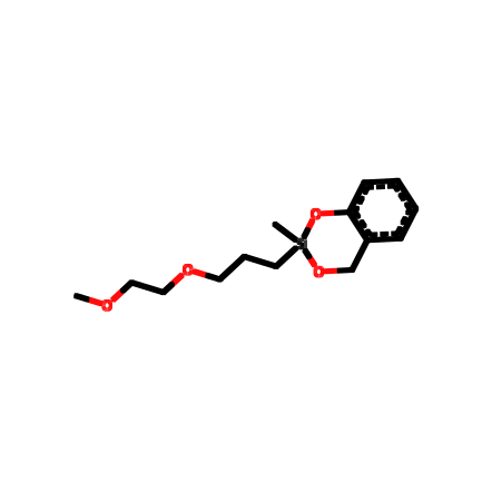 COCCOCCC[Si]1(C)OCc2ccccc2O1